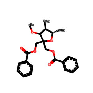 CCCCOC1C(OC(C)=O)[C@H](OC(C)=O)OC1(COC(=O)c1ccccc1)COC(=O)c1ccccc1